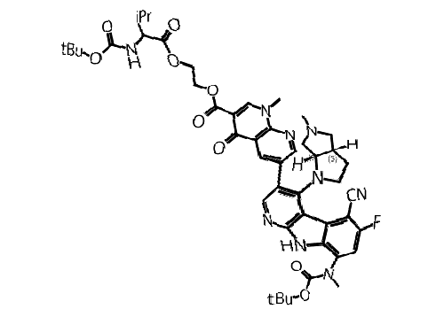 CC(C)C(NC(=O)OC(C)(C)C)C(=O)OCCOC(=O)c1cn(C)c2ncc(-c3cnc4[nH]c5c(N(C)C(=O)OC(C)(C)C)cc(F)c(C#N)c5c4c3N3CC[C@H]4CN(C)C[C@H]43)cc2c1=O